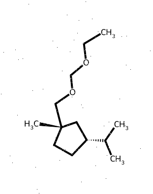 CCOCOC[C@@]1(C)CC[C@@H](C(C)C)C1